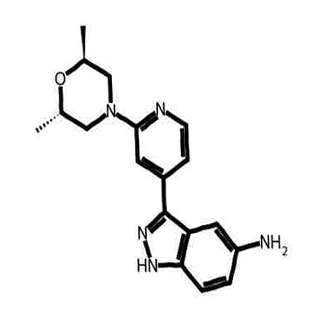 C[C@H]1CN(c2cc(-c3n[nH]c4ccc(N)cc34)ccn2)C[C@H](C)O1